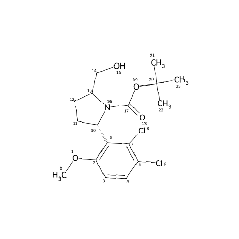 COc1ccc(Cl)c(Cl)c1[C@@H]1CCC(CO)N1C(=O)OC(C)(C)C